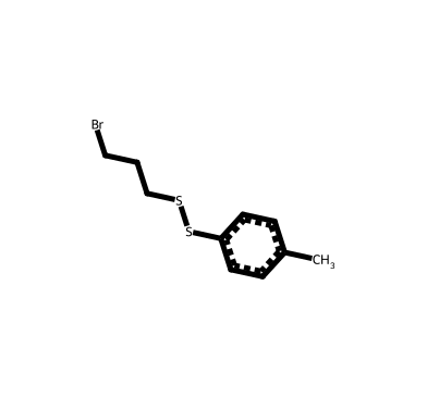 Cc1ccc(SSCCCBr)cc1